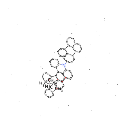 CC1(C)c2ccccc2-c2ccc(-c3cccc(N(c4ccc(-c5cccc6cccc(-c7ccccc7)c56)cc4)c4ccccc4-c4cccc5c4-c4ccccc4C5(C)C)c3)cc21